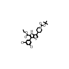 CCOC(=O)c1[nH]c2c(C3CCN(C(=O)OC(C)(C)C)CC3)csc2c1-c1cc(Cl)cc(Cl)c1